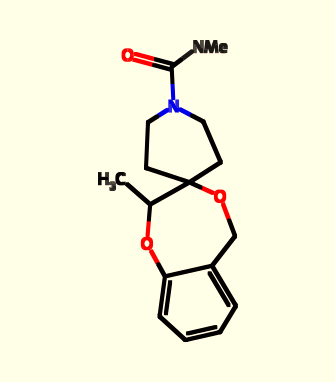 CNC(=O)N1CCC2(CC1)OCc1ccccc1OC2C